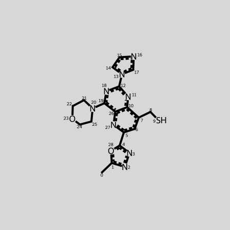 Cc1nnc(-c2cc(CS)c3nc(-n4ccnc4)nc(N4CCOCC4)c3n2)o1